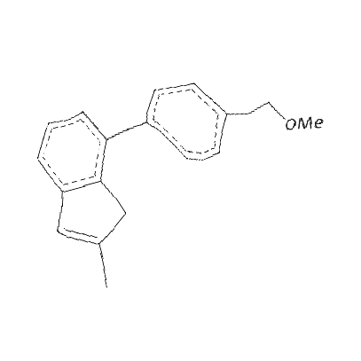 COCc1ccc(-c2cccc3c2CC(C)=C3)cc1